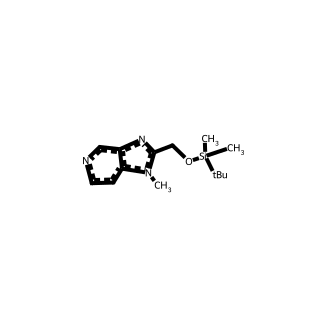 Cn1c(CO[Si](C)(C)C(C)(C)C)nc2cnccc21